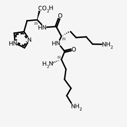 NCCCC[C@H](NC(=O)[C@@H](N)CCCCN)C(=O)N[C@@H](Cc1c[nH]cn1)C(=O)O